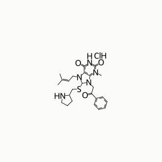 CC(C)=CCN1c2c(n(C)c(=O)[nH]c2=O)N(CC(=O)c2ccccc2)C1SCC1CCCN1.Cl